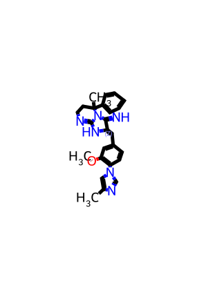 COc1cc(/C=c2\[nH]c3n(c2=N)C(C)(c2ccccc2)CCN=3)ccc1-n1cnc(C)c1